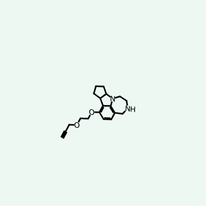 C#CCOCCOc1ccc2c3c1C1CCCC1N3CCNC2